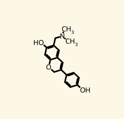 CN(C)Cc1cc2c(cc1O)OCC(c1ccc(O)cc1)=C2